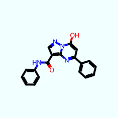 O=C(Nc1ccccc1)c1cnn2c(O)cc(-c3ccccc3)nc12